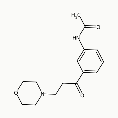 CC(=O)Nc1cccc(C(=O)CCN2CCOCC2)c1